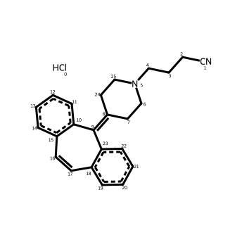 Cl.N#CCCCN1CCC(=C2c3ccccc3C=Cc3ccccc32)CC1